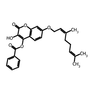 CC(C)=CCCC(C)=CCOc1ccc2c(OC(=O)c3ccccc3)c(O)c(=O)oc2c1